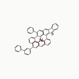 c1ccc(-c2cccc(-c3ccc(N(c4ccccc4-c4cccc5c4sc4ccccc45)c4cccc(-c5ccccc5)c4-c4ccccc4-c4ccccc4)cc3)c2)cc1